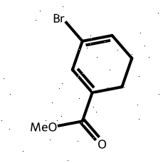 COC(=O)C1=CC(Br)=CCC1